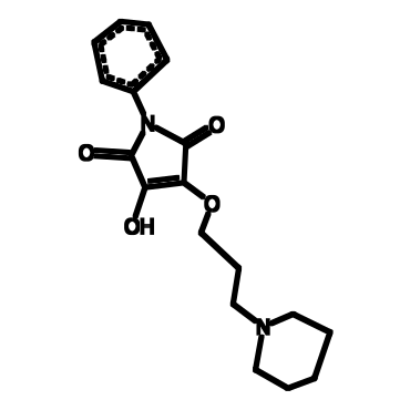 O=C1C(O)=C(OCCCN2CCCCC2)C(=O)N1c1ccccc1